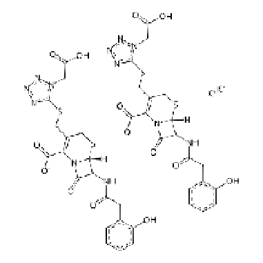 O=C(O)Cn1nnnc1SCC1=C(C(=O)[O-])N2C(=O)C(NC(=O)Cc3ccccc3O)[C@H]2SC1.O=C(O)Cn1nnnc1SCC1=C(C(=O)[O-])N2C(=O)C(NC(=O)Cc3ccccc3O)[C@H]2SC1.[K+].[K+]